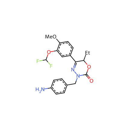 CCC1OC(=O)N(Cc2ccc(N)cc2)N=C1c1ccc(OC)c(OC(F)F)c1